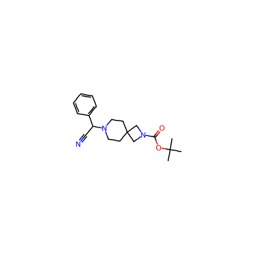 CC(C)(C)OC(=O)N1CC2(CCN(C(C#N)c3ccccc3)CC2)C1